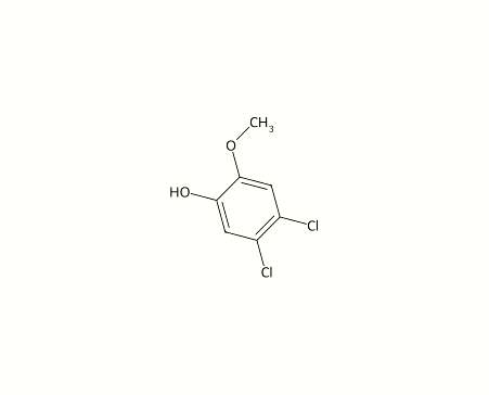 COc1cc(Cl)c(Cl)cc1O